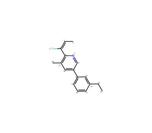 C/C=C(/F)c1ncc(-c2cccc(CC)c2)cc1C